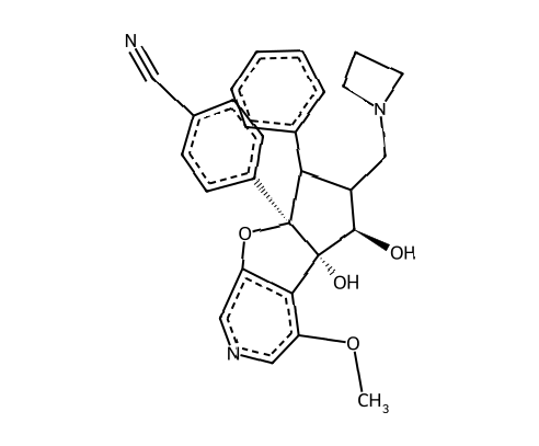 COc1cncc2c1[C@]1(O)[C@H](O)C(CN3CCC3)C(c3ccccc3)[C@]1(c1ccc(C#N)cc1)O2